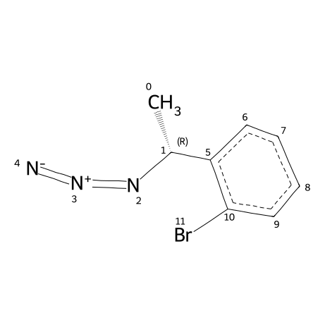 C[C@@H](N=[N+]=[N-])c1ccccc1Br